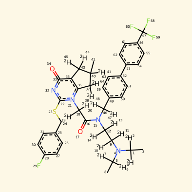 [2H]C([2H])(C)N(C([2H])([2H])C)C([2H])([2H])C([2H])([2H])N(C(=O)C([2H])([2H])n1c(SCc2ccc(F)cc2)nc(=O)c2c1C([2H])([2H])C([2H])(C)C2([2H])[2H])C([2H])([2H])c1ccc(-c2ccc(C(F)(F)F)cc2)cc1